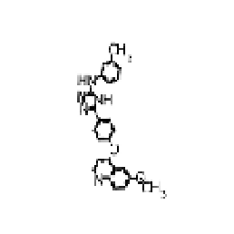 COc1ccc2nccc(Oc3ccc(-c4nnc(Nc5cccc(C)c5)[nH]4)cc3)c2c1